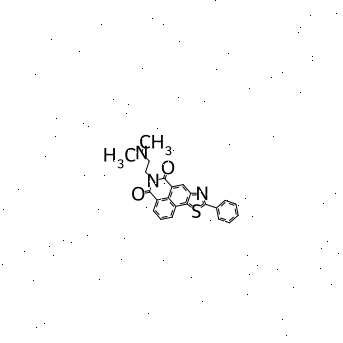 CN(C)CCN1C(=O)c2cccc3c2c(cc2nc(-c4ccccc4)sc23)C1=O